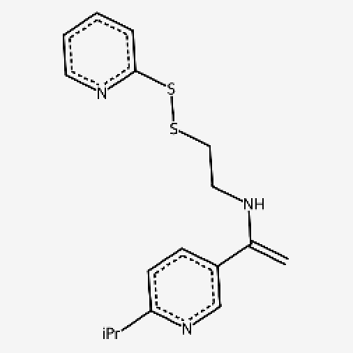 C=C(NCCSSc1ccccn1)c1ccc(C(C)C)nc1